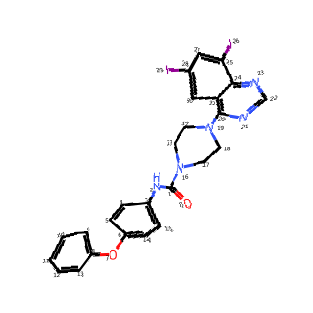 O=C(Nc1ccc(Oc2ccccc2)cc1)N1CCN(c2ncnc3c(I)cc(I)cc23)CC1